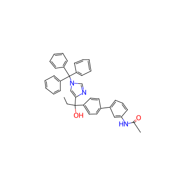 CCC(O)(c1ccc(-c2cccc(NC(C)=O)c2)cc1)c1cn(C(c2ccccc2)(c2ccccc2)c2ccccc2)cn1